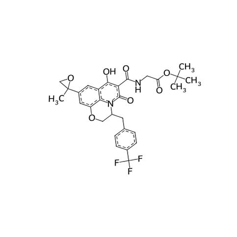 CC(C)(C)OC(=O)CNC(=O)c1c(O)c2cc(C3(C)CO3)cc3c2n(c1=O)C(Cc1ccc(C(F)(F)F)cc1)CO3